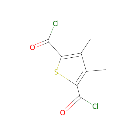 Cc1c(C(=O)Cl)sc(C(=O)Cl)c1C